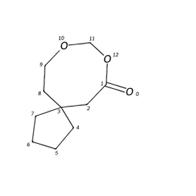 O=C1CC2(CCCC2)CCOCO1